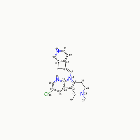 CC1c2c(n(/C=C3\Cc4cnccc43)c3ncc(Cl)cc23)CCN1C